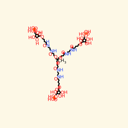 CC(COCCC(=O)NCCCNC(=O)CCCCOC1OC2(O)C(COP(=O)(O)O)C(O)C(O)C12)(COCCC(=O)NCCCNC(=O)CCCCOC1OC2(O)C(COP(=O)(O)O)C(O)C(O)C12)COCCC(=O)NCCCNC(=O)CCCCOC1OC2(O)C(COP(=O)(O)O)C(O)C(O)C12